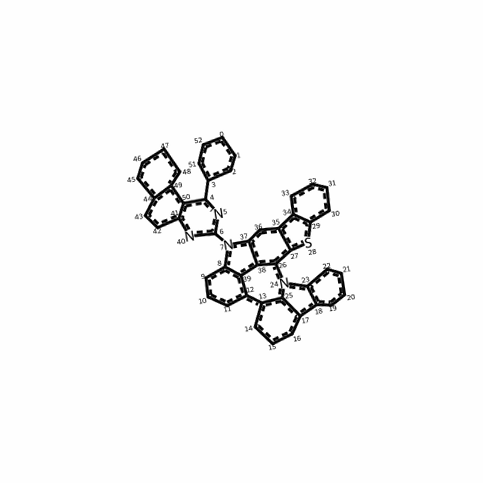 c1ccc(-c2nc(-n3c4cccc5c6cccc7c8ccccc8n(c67)c6c7sc8ccccc8c7cc3c6c54)nc3ccc4ccccc4c23)cc1